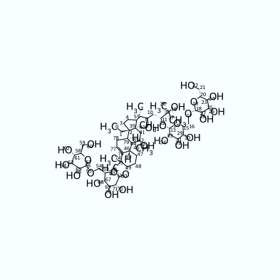 CC[C@@]12CCC([C@H](C)C(O)C[C@@H](O[C@@H]3O[C@H](CO[C@@H]4O[C@H](CO)[C@@H](O)[C@H](O)[C@H]4O)[C@@H](O)[C@H](O)[C@H]3O)C(C)(C)O)[C@@]1(C)C[C@@H](O)[C@@]1(C)[C@@H]3CC[C@H](O[C@@H]4O[C@H](CO[C@@H]5O[C@H](CO)[C@@H](O)[C@H](O)[C@H]5O)[C@@H](O)[C@H](O)[C@H]4O)C(C)(C)C3=CC[C@H]12